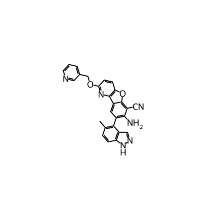 Cc1ccc2[nH]ncc2c1-c1cc2c(oc3ccc(OCc4cccnc4)nc32)c(C#N)c1N